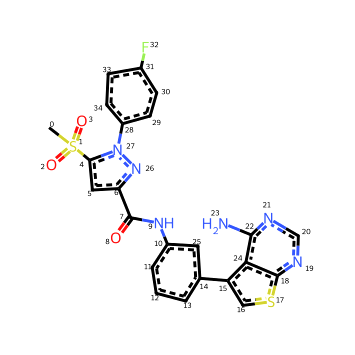 CS(=O)(=O)c1cc(C(=O)Nc2cccc(-c3csc4ncnc(N)c34)c2)nn1-c1ccc(F)cc1